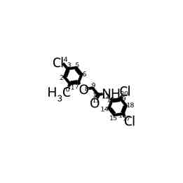 Cc1cc(Cl)ccc1OCC(=O)Nc1ccc(Cl)cc1Cl